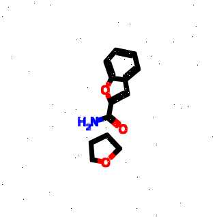 C1CCOC1.NC(=O)c1cc2ccccc2o1